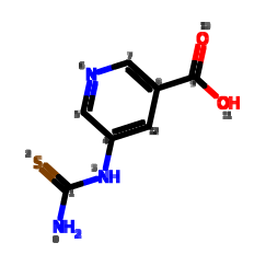 NC(=S)Nc1cncc(C(=O)O)c1